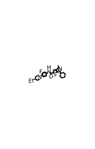 CCC1CCN(c2ccc(NC(=O)c3cc4c(C)nn(C5CCCCC5)c4s3)cc2F)CC1